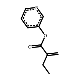 C=C(CC)C(=O)Oc1cccnc1